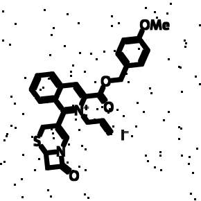 C=CC[n+]1c(C(=O)OCc2ccc(OC)cc2)cc2ccccc2c1C1=CN2C(=O)CC2SC1.[I-]